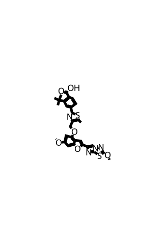 COc1cc(OCc2nc(-c3ccc(C(=O)O)c(C(C)(C)C)c3)sc2C)c2cc(-c3cn4nc(OC)sc4n3)oc2c1